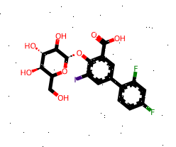 O=C(O)c1cc(-c2ccc(F)cc2F)cc(I)c1O[C@@H]1OC(CO)[C@@H](O)[C@H](O)C1O